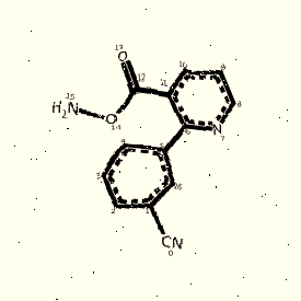 N#Cc1cccc(-c2ncccc2C(=O)ON)c1